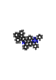 c1ccc(-c2nc(-c3ccccc3)nc(-c3cccc(-c4cc(-c5ccccc5-c5ccccc5)nc5cc6c(cc45)-c4ccccc4C6(c4ccccc4)c4ccccc4)c3)n2)cc1